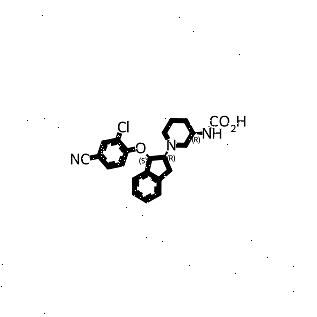 N#Cc1ccc(O[C@H]2c3ccccc3C[C@H]2N2CCC[C@@H](NC(=O)O)C2)c(Cl)c1